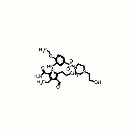 CCCc1c(C=O)c(CC)c(C(N)=O)n1Nc1cc(S(=O)(=O)N2CCN(CCO)CC2)ccc1OCC